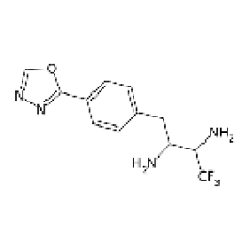 NC(Cc1ccc(-c2nnco2)cc1)C(N)C(F)(F)F